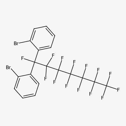 FC(F)(F)C(F)(F)C(F)(F)C(F)(F)C(F)(F)C(F)(F)C(F)(c1ccccc1Br)c1ccccc1Br